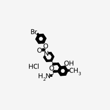 Cc1ccc2c(c1O)C[C@@H](C1CCN(C(=O)Oc3ccc(Br)cc3)CC1)O[C@H]2CN.Cl